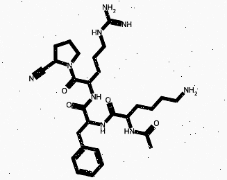 CC(=O)NC(CCCCN)C(=O)NC(Cc1ccccc1)C(=O)NC(CCCNC(=N)N)C(=O)N1CCCC1C#N